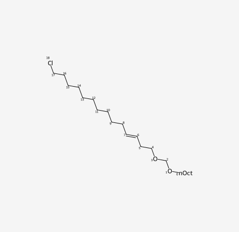 CCCCCCCCOCOCCC=CCCCCCCCCCCCl